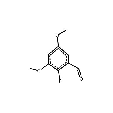 COc1cc(C=O)c(F)c(OC)c1